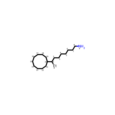 CCC(CCCCCCCN)C1CCCCCCCCC1